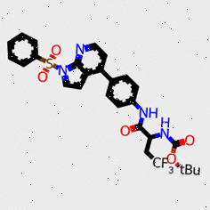 CC(C)(C)OC(=O)NC(CC(F)(F)F)C(=O)Nc1ccc(-c2ccnc3c2ccn3S(=O)(=O)c2ccccc2)cc1